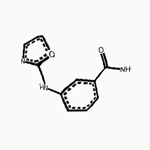 [NH]C(=O)c1cccc(Nc2ncco2)c1